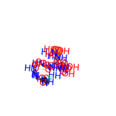 Cc1cc(-c2ccc(NC(=O)C(CCCCNC(=O)CCN3C(=O)CC(SCCC(=O)NCC(C)(C)OCCC(C)(C)OCCC(=O)Nc4ccc(-c5cn(Cc6cccc7c6CN(C(=O)C[C@@H]6C[C@@H](C(=O)N8CC(F)(F)C[C@H]8C#N)NC6=O)C7)nn5)cc4)C3=O)NC(=O)CN3CCN(CC(=O)O)CCN(CC(=O)O)CCN(CC(=O)O)CC3)c(C)c2)ccc1NNc1ccc2c(S(=O)(=O)O)cc(S(=O)(=O)O)c(N)c2c1O